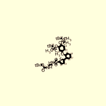 CC(C)(C)OC(=O)NCCNS(=O)(=O)c1ccc(-c2ccccc2Oc2ccc(O[Si](C)(C)C(C)(C)C)c(O[Si](C)(C)C(C)(C)C)c2)s1